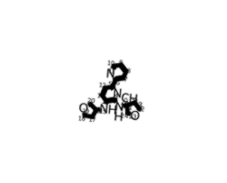 CC1(Nc2nc(-c3ccccn3)ccc2NC2CCOC2)CCOC1